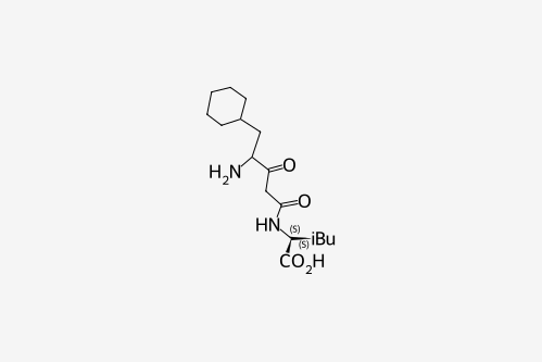 CC[C@H](C)[C@H](NC(=O)CC(=O)C(N)CC1CCCCC1)C(=O)O